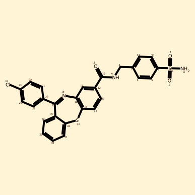 NS(=O)(=O)c1ccc(CNC(=O)c2ccc3c(c2)N=C(c2ccc(Cl)cc2)c2ccccc2S3)cc1